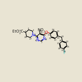 CCOC(=O)C1CCN(c2ncnc(Oc3ccc(Cc4ccc(F)cc4)cc3)c2[N+](=O)[O-])CC1